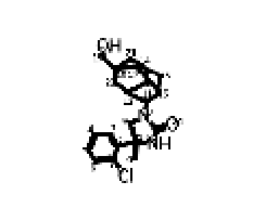 CC1(c2ccccc2Cl)CN(C2C3CC4CC2CC(CO)(C4)C3)C(=O)N1